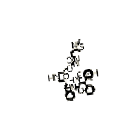 Cc1nc(Cc2nnc(OC[C@@H]3CNC[C@@H](CCc4ccccc4NC(=O)C(NC(=O)O)C(c4ccccc4)c4ccccc4)O3)o2)cs1